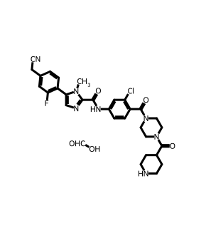 Cn1c(-c2ccc(CC#N)cc2F)cnc1C(=O)Nc1ccc(C(=O)N2CCN(C(=O)C3CCNCC3)CC2)c(Cl)c1.O=CO